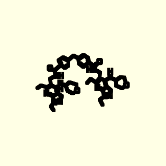 CCc1nc2c(cnn2CC)c(NC2CCOCC2)c1CNC(=O)c1ccc(Cc2ccc(C(=O)NCc3c(CC)nc4c(cnn4CC)c3NC3CCOCC3)cc2)cc1